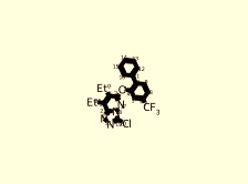 CCc1c(Oc2cc(C(F)(F)F)ccc2-c2ccccc2)nn2c(Cl)nnc2c1CC